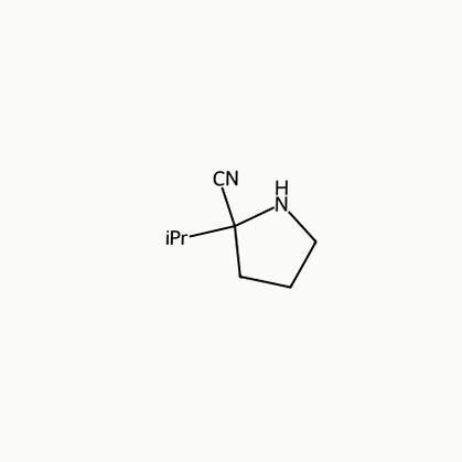 CC(C)C1(C#N)CCCN1